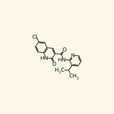 CC(C)c1cccnc1NC(=O)c1cc2cc(Cl)ccc2[nH]c1=O